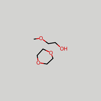 C1COCCO1.COCCO